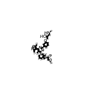 CNCC(O)COc1cccc(-c2nc(-c3c(C)noc3C)c(C)c(N3CCCC4(CN(C(=O)COC)C4)C3)n2)c1